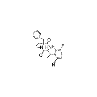 CCC1(Cc2ccccc2)C(=O)NC(C(C)c2c(C#N)ccc(F)c2F)C(=O)N1C